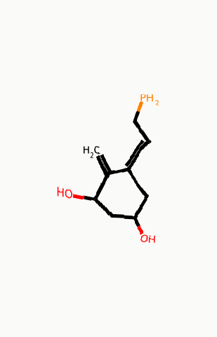 C=C1/C(=C\CP)CC(O)CC1O